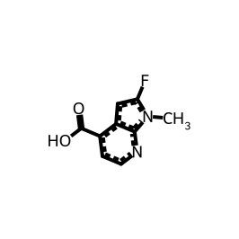 Cn1c(F)cc2c(C(=O)O)ccnc21